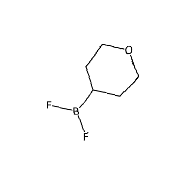 FB(F)C1CCOCC1